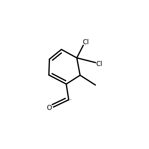 CC1C([C]=O)=CC=CC1(Cl)Cl